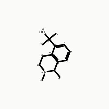 CC1c2cccc(C(C)(C)O)c2CCN1C